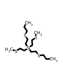 CCCSCC[Si](CCSC)(CCSC)CCSCCC